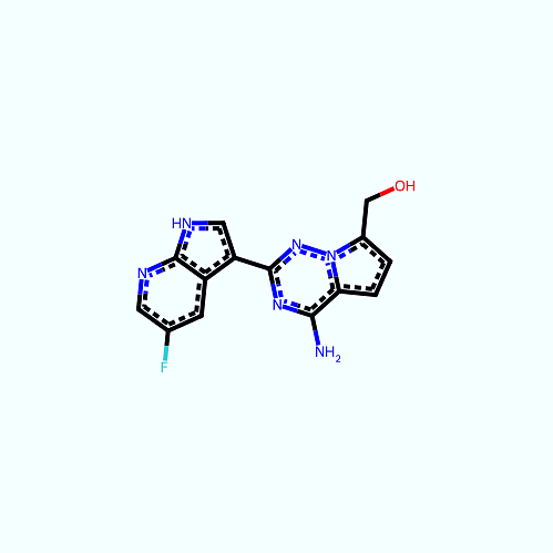 Nc1nc(-c2c[nH]c3ncc(F)cc23)nn2c(CO)ccc12